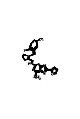 Nc1nc(NCC2CCCN2Cc2cc(C(F)(F)F)ccc2F)nc2nc(-c3ccco3)nn12